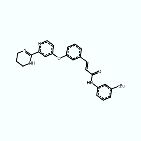 CC(C)(C)c1cccc(NC(=O)/C=C/c2cccc(Oc3ccnc(C4=NCCCN4)c3)c2)c1